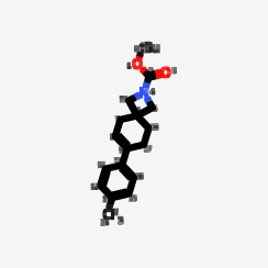 CC(C)(C)OC(=O)N1CC2(CC=C(c3ccc(C(F)(F)F)cc3)CC2)C1